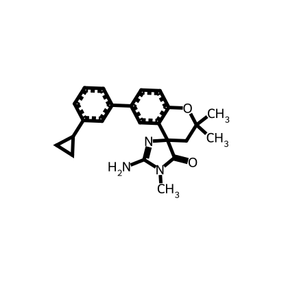 CN1C(=O)C2(CC(C)(C)Oc3ccc(-c4cccc(C5CC5)c4)cc32)N=C1N